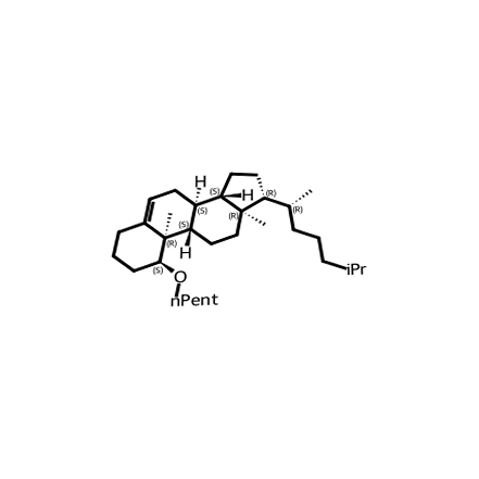 CCCCCO[C@H]1CCCC2=CC[C@H]3[C@@H]4CC[C@H]([C@H](C)CCCC(C)C)[C@@]4(C)CC[C@@H]3[C@]21C